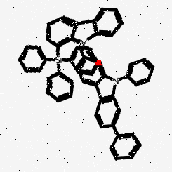 c1ccc(-c2ccc3c4ccc(-n5c6ccccc6c6cccc([Si](c7ccccc7)(c7ccccc7)c7ccccc7)c65)cc4n(-c4ccccc4)c3c2)cc1